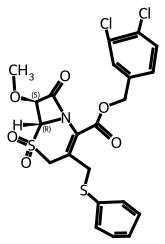 CO[C@H]1C(=O)N2C(C(=O)OCc3ccc(Cl)c(Cl)c3)=C(CSc3ccccc3)CS(=O)(=O)[C@H]12